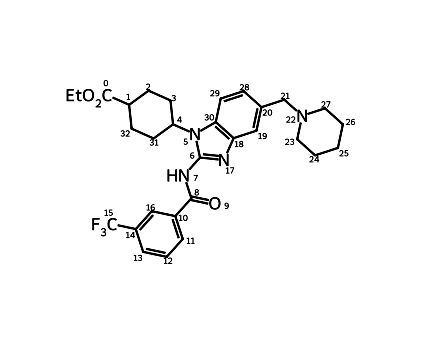 CCOC(=O)C1CCC(n2c(NC(=O)c3cccc(C(F)(F)F)c3)nc3cc(CN4CCCCC4)ccc32)CC1